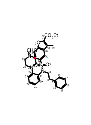 CCOC(=O)c1oc2ccc(S(=O)(=O)N(CCc3ccccc3)c3ccccc3N3CCN(C=O)CC3)cc2c1C